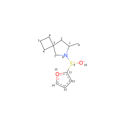 CC1CC2(CCC2)CN1[S+]([O-])c1ccco1